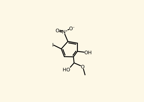 COC(O)c1cc(I)c([N+](=O)[O-])cc1O